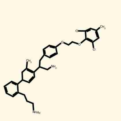 CC(=O)NCCCc1ccccc1C1C=CC(C(CN)Cc2ccc(OCCOc3c(Cl)cc(C)cc3Cl)cc2)=C(C)C1